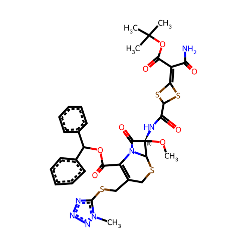 CO[C@@]1(NC(=O)C2SC(=C(C(N)=O)C(=O)OC(C)(C)C)S2)C(=O)N2C(C(=O)OC(c3ccccc3)c3ccccc3)=C(CSc3nnnn3C)CSC21